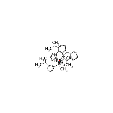 Cc1[c]([Pd-2]([Br])=[c]2n(-c3c(C(C)C)cccc3C(C)C)ccn2-c2c(C(C)C)cccc2C(C)C)ccc2ccccc12